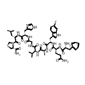 CC(C)C[C@H](NC(=O)[C@H](Cc1c[nH]cn1)NC(=O)CNC(=O)[C@@H](NC(=O)[C@H](C)NC(=O)[C@H](Cc1c[nH]c2cc(F)ccc12)NC(=O)[C@H](CCC(N)=O)NC(=O)[C@H](N)Cc1ccccc1)C(C)C)C(=O)N1CSC[C@H]1C(N)=O